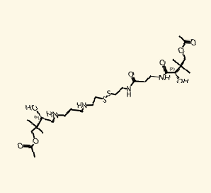 CC(=O)OCC(C)(C)[C@@H](O)CNCCCNCCSSCCNC(=O)CCNC(=O)[C@H](O)C(C)(C)COC(C)=O